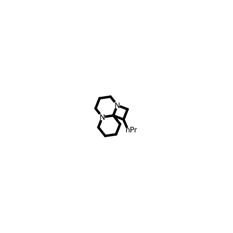 CCCC1CN2CCCN3CCCCC132